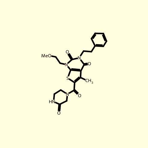 COCCn1c(=O)n(CCc2ccccc2)c(=O)c2c(C)c(C(=O)N3CCNC(=O)C3)sc21